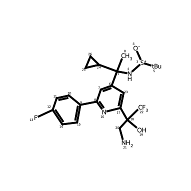 CC(N[S+]([O-])C(C)(C)C)(c1cc(-c2ccc(F)cc2)nc(C(O)(CN)C(F)(F)F)c1)C1CC1